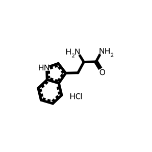 Cl.NC(=O)C(N)Cc1c[nH]c2ccccc12